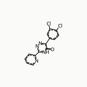 O=c1[nH]c(-c2ccccn2)nnc1-c1ccc(Cl)c(Cl)c1